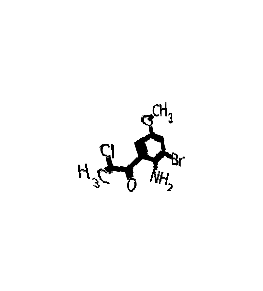 COc1cc(Br)c(N)c(C(=O)C(C)Cl)c1